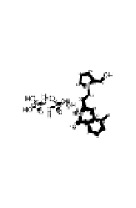 Cc1cccc2c(=O)[nH]c(CCN3CCCC3CO)cc12.O.O=P(O)(O)O.O=P(O)(O)O